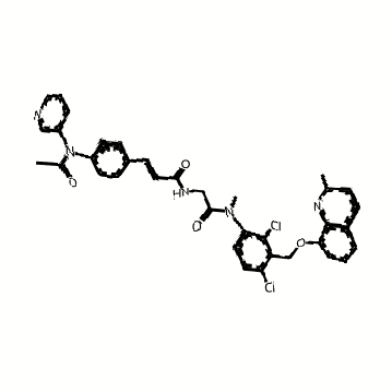 CC(=O)N(c1ccc(C=CC(=O)NCC(=O)N(C)c2ccc(Cl)c(COc3cccc4ccc(C)nc34)c2Cl)cc1)c1cccnc1